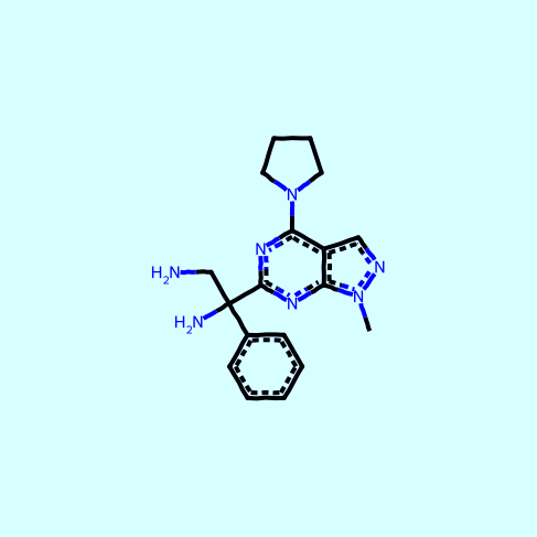 Cn1ncc2c(N3CCCC3)nc(C(N)(CN)c3ccccc3)nc21